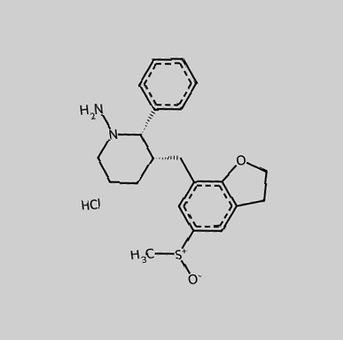 C[S+]([O-])c1cc2c(c(C[C@@H]3CCCN(N)[C@@H]3c3ccccc3)c1)OCC2.Cl